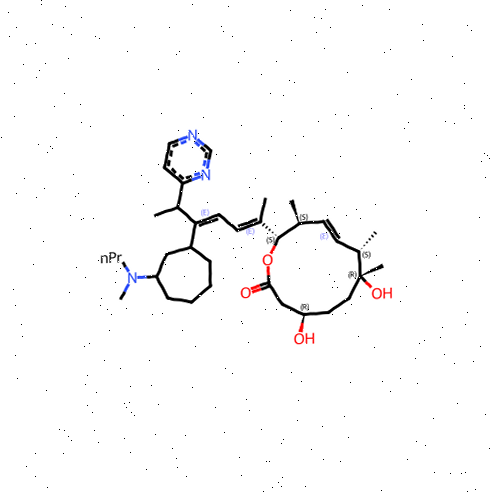 CCCN(C)C1CCCCC(/C(=C\C=C(/C)[C@H]2OC(=O)C[C@H](O)CC[C@@](C)(O)[C@@H](C)/C=C/[C@@H]2C)C(C)c2ccncn2)C1